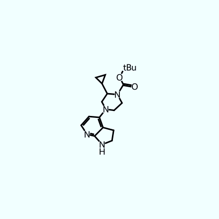 CC(C)(C)OC(=O)N1CCN(c2ccnc3c2CCN3)CC1C1CC1